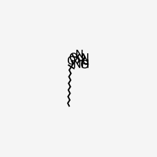 CCCCCCCCCCCCC(C)(C)C(=O)Nc1c(OC)ncnc1OC